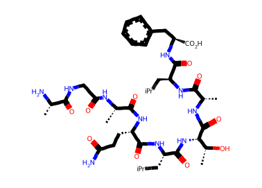 CC(C)C[C@H](NC(=O)[C@H](C)NC(=O)[C@@H](NC(=O)[C@H](CC(C)C)NC(=O)[C@H](CCC(N)=O)NC(=O)[C@H](C)NC(=O)CNC(=O)[C@H](C)N)[C@@H](C)O)C(=O)N[C@@H](Cc1ccccc1)C(=O)O